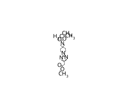 CCOC(=O)Cc1cnc(N2CCC3(CC2)CN(C(=O)OC(C)(C)C)C3)nc1